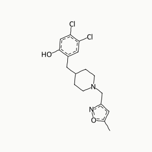 Cc1cc(CN2CCC(Cc3cc(Cl)c(Cl)cc3O)CC2)no1